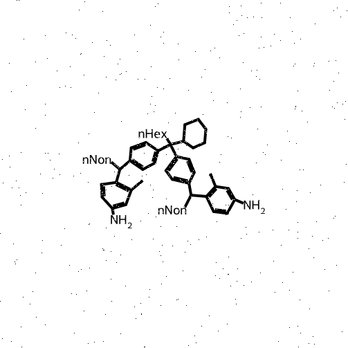 CCCCCCCCCC(c1ccc(C(CCCCCC)(c2ccc(C(CCCCCCCCC)c3ccc(N)cc3C)cc2)C2CCCCC2)cc1)c1ccc(N)cc1C